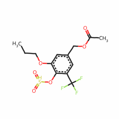 CCCOc1cc(COC(C)=O)cc(C(F)(F)F)c1O[SH](=O)=O